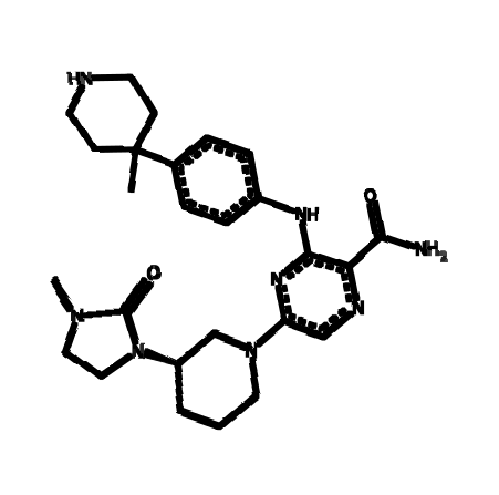 CN1CCN([C@@H]2CCCN(c3cnc(C(N)=O)c(Nc4ccc(C5(C)CCNCC5)cc4)n3)C2)C1=O